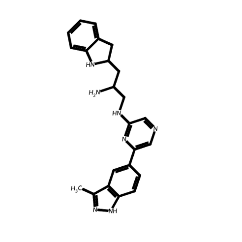 Cc1n[nH]c2ccc(-c3cncc(NCC(N)CC4Cc5ccccc5N4)n3)cc12